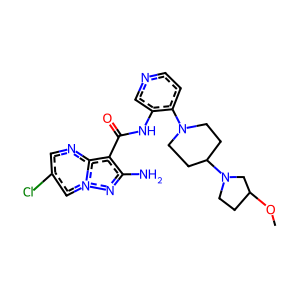 COC1CCN(C2CCN(c3ccncc3NC(=O)c3c(N)nn4cc(Cl)cnc34)CC2)C1